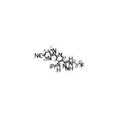 CC(C)Nc1cc(-n2ncc3cc(C#N)cnc32)ncc1/C(=C/NCCCF)N=N